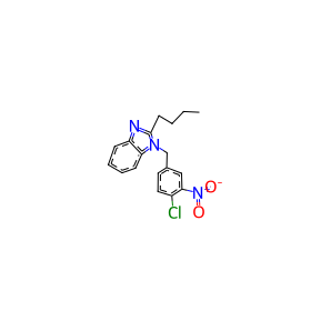 CCCCc1nc2ccccc2n1Cc1ccc(Cl)c([N+](=O)[O-])c1